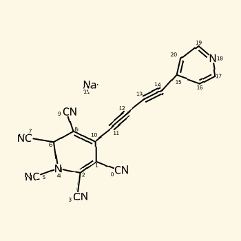 N#CC1=C(C#N)N(C#N)C(C#N)C(C#N)=C1C#CC#Cc1ccncc1.[Na]